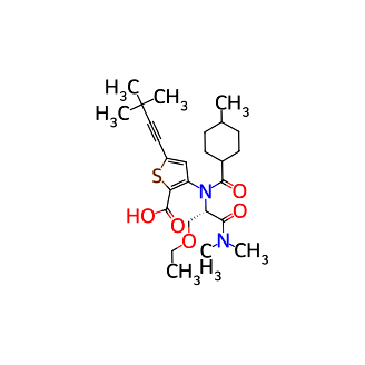 CCOC[C@@H](C(=O)N(C)C)N(C(=O)C1CCC(C)CC1)c1cc(C#CC(C)(C)C)sc1C(=O)O